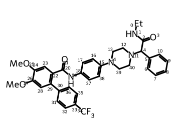 CCNC(=O)C(c1ccccc1)N1CCN(c2ccc(NC(=O)c3cc(OC)c(OC)cc3-c3ccc(C(F)(F)F)cc3)cc2)CC1